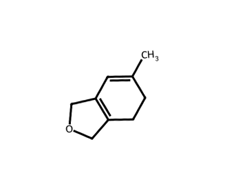 CC1=CC2=C(CC1)COC2